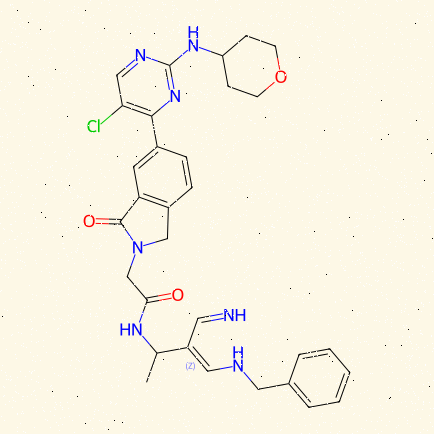 CC(NC(=O)CN1Cc2ccc(-c3nc(NC4CCOCC4)ncc3Cl)cc2C1=O)/C(C=N)=C/NCc1ccccc1